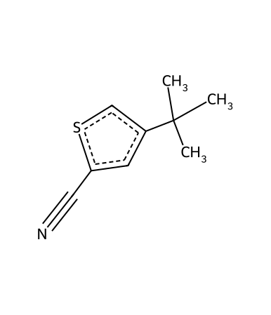 CC(C)(C)c1csc(C#N)c1